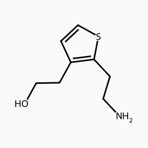 NCCc1sccc1CCO